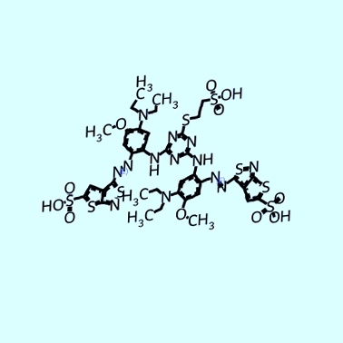 CCN(CC)c1cc(Nc2nc(Nc3cc(N(CC)CC)c(OC)cc3/N=N/c3snc4sc(S(=O)(=O)O)cc34)nc(SCCS(=O)(=O)O)n2)c(/N=N/c2snc3sc(S(=O)(=O)O)cc23)cc1OC